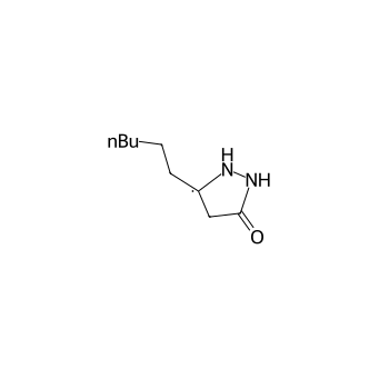 CCCCCC[C]1CC(=O)NN1